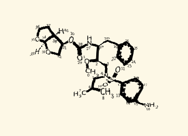 CO[C@H](CN(CC(C)C)S(=O)(=O)c1ccc(N)cc1)[C@H](Cc1ccccc1)NC(=O)O[C@H]1CO[C@H]2OCC[C@H]21